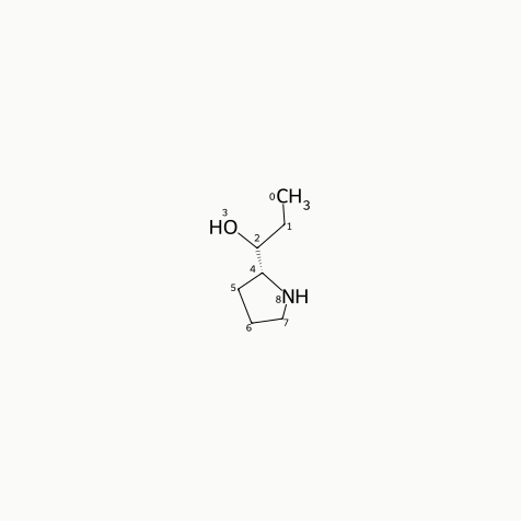 CCC(O)[C@H]1CCCN1